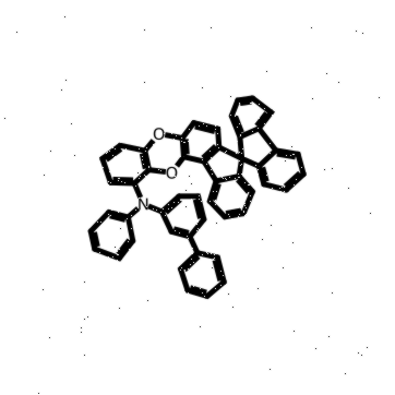 c1ccc(-c2cccc(N(c3ccccc3)c3cccc4c3Oc3c(ccc5c3-c3ccccc3C53c5ccccc5-c5ccccc53)O4)c2)cc1